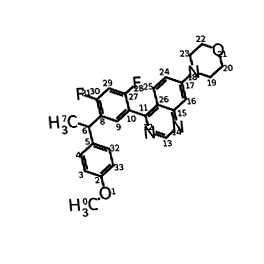 COc1ccc(C(C)c2cc(-c3ncnc4cc(N5CCOCC5)ccc34)c(F)cc2F)cc1